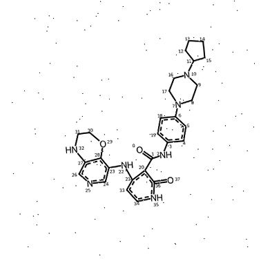 O=C(Nc1ccc(N2CCN(C3CCCC3)CC2)cc1)c1c(Nc2cncc3c2OCCN3)cc[nH]c1=O